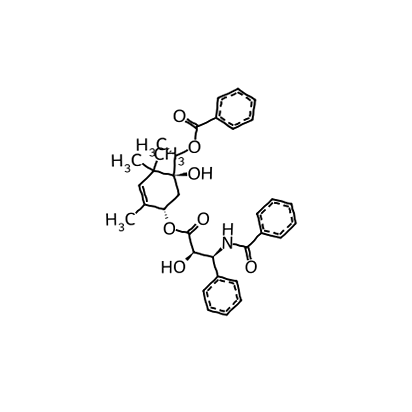 CC1=CC(C)(C)[C@](O)([C@H](C)OC(=O)c2ccccc2)C[C@@H]1OC(=O)[C@H](O)[C@@H](NC(=O)c1ccccc1)c1ccccc1